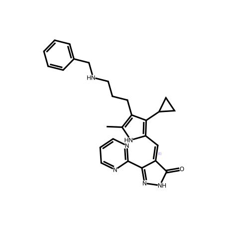 Cc1[nH]c(/C=C2/C(=O)NN=C2c2ncccn2)c(C2CC2)c1CCCNCc1ccccc1